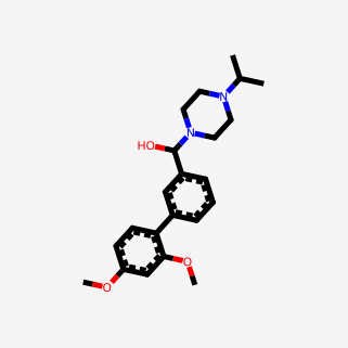 COc1ccc(-c2cccc(C(O)N3CCN(C(C)C)CC3)c2)c(OC)c1